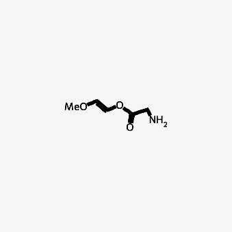 COC=COC(=O)CN